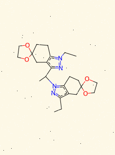 CCc1nn(C(C)c2nn(CC)c3c2CC2(CC3)OCCO2)c2c1CC1(CC2)OCCO1